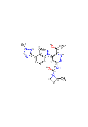 CCn1cnc(-c2cccc(Nc3cc(NC(=O)N4CCC4C)nnc3C(=O)NC)c2OC)n1